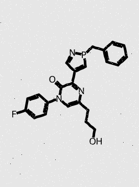 O=c1c(-c2cnp(Cc3ccccc3)c2)nc(CCCO)cn1-c1ccc(F)cc1